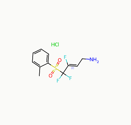 Cc1ccccc1S(=O)(=O)C(F)(F)/C(F)=C/CN.Cl